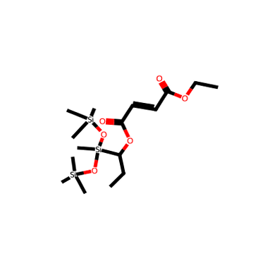 CCOC(=O)/C=C/C(=O)OC(CC)[Si](C)(O[Si](C)(C)C)O[Si](C)(C)C